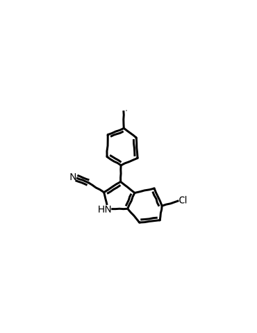 [CH2]c1ccc(-c2c(C#N)[nH]c3ccc(Cl)cc23)cc1